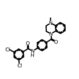 CN1CCN(C(=O)c2ccc(NC(=O)c3cc(Cl)cc(Cl)c3)cc2)c2ccccc21